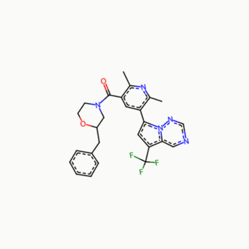 Cc1nc(C)c(-c2cc(C(F)(F)F)c3cncnn23)cc1C(=O)N1CCOC(Cc2ccccc2)C1